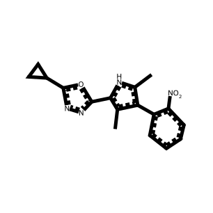 Cc1[nH]c(-c2nnc(C3CC3)o2)c(C)c1-c1cc[c]cc1[N+](=O)[O-]